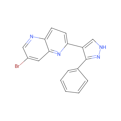 Brc1cnc2ccc(-c3c[nH]nc3-c3ccccc3)nc2c1